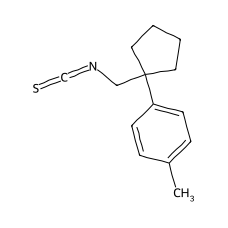 Cc1ccc(C2(CN=C=S)CCCC2)cc1